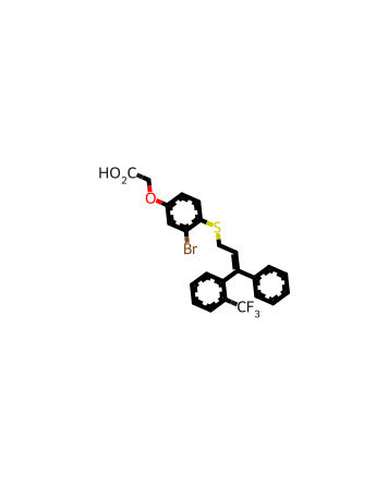 O=C(O)COc1ccc(SC/C=C(/c2ccccc2)c2ccccc2C(F)(F)F)c(Br)c1